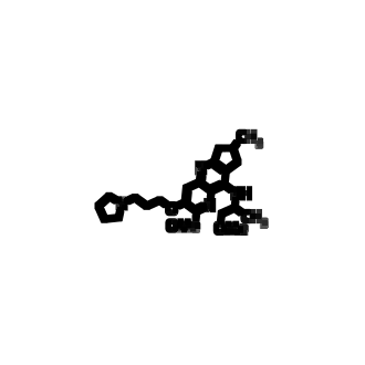 COCC(C)Nc1c2c(nc3cc(OCCCN4CCCC4)c(OC)nc13)CC(C)C2